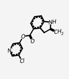 C=C1Cc2c(cccc2C(=O)Oc2cncc(Cl)c2)N1